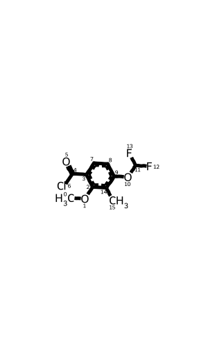 COc1c(C(=O)Cl)ccc(OC(F)F)c1C